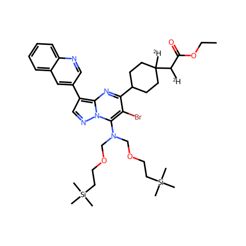 [2H]C(C(=O)OCC)C1([2H])CCC(c2nc3c(-c4cnc5ccccc5c4)cnn3c(N(COCC[Si](C)(C)C)COCC[Si](C)(C)C)c2Br)CC1